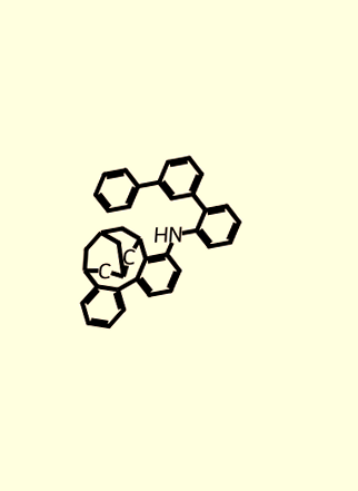 c1ccc(-c2cccc(-c3ccccc3Nc3cccc4c3C3CC5CC(CC(C5)c5ccccc5-4)C3)c2)cc1